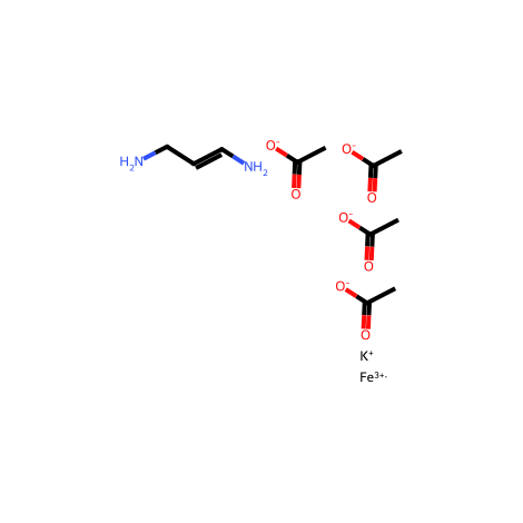 CC(=O)[O-].CC(=O)[O-].CC(=O)[O-].CC(=O)[O-].NC=CCN.[Fe+3].[K+]